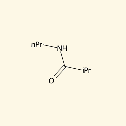 CCCNC(=O)C(C)C